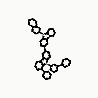 c1ccc(-c2cccc(-n3c4ccc(-c5ccc6c(c5)c5ccccc5n6-c5ccc6ccccc6c5)cc4c4cccc(-c5ccccc5)c43)c2)cc1